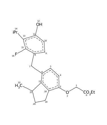 CCOC(=O)COc1ccc(Cc2ccc(O)c(C(C)C)c2F)c2c1CCC2C